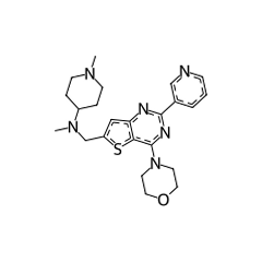 CN1CCC(N(C)Cc2cc3nc(-c4cccnc4)nc(N4CCOCC4)c3s2)CC1